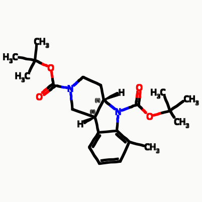 Cc1cccc2c1N(C(=O)OC(C)(C)C)[C@H]1CCN(C(=O)OC(C)(C)C)C[C@@H]21